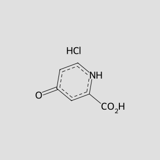 Cl.O=C(O)c1cc(=O)cc[nH]1